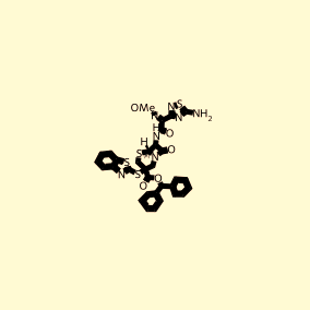 CON=C(C(=O)NC1C(=O)N2CC(Sc3nc4ccccc4s3)(C(=O)OC(c3ccccc3)c3ccccc3)CS[C@H]12)c1nsc(N)n1